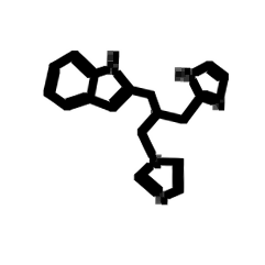 c1ccc2[nH]c(C[C](Cc3ncc[nH]3)Cn3ccnc3)cc2c1